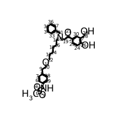 CS(=O)(=O)Nc1ccc(CCOCCCCCCN(CC(=O)c2ccc(O)c(CO)c2)Cc2ccccc2)cc1